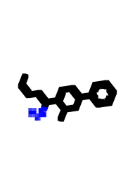 C/C=C\C=C(/N)C1=CC=C(c2ccccc2)CC1C